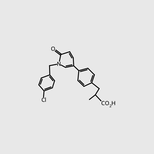 CC(Cc1ccc(-c2ccc(=O)n(Cc3ccc(Cl)cc3)c2)cc1)C(=O)O